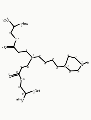 CCCCCCCCC(CCCCCC)COC(=O)CCN(CCCCN1CCN(C)CC1)CCC(=O)OCC(CCCCCC)CCCCCCCC